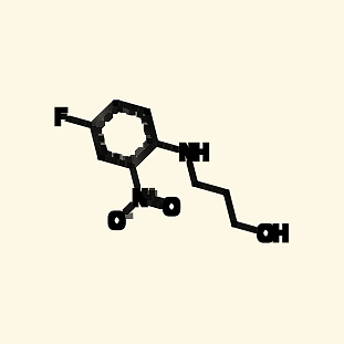 O=[N+]([O-])c1cc(F)ccc1NCCCO